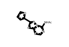 CC(=O)Nc1ncnc2nc(-c3ccco3)nn12